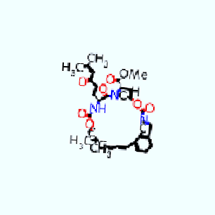 COC(=O)[C@@H]1C[C@@H]2CN1C(=O)[C@H](CCC(=O)C=C(C)C)NC(=O)OCC(C)(C)CC/C=C/C1=CCCC3=C1CN(C3)C(=O)O2